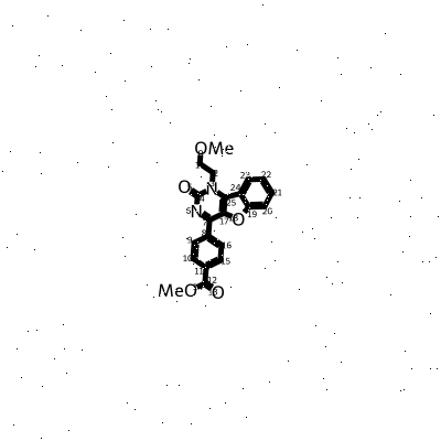 COCCn1c(=O)nc(-c2ccc(C(=O)OC)cc2)c2oc3ccccc3c21